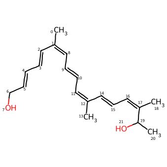 CC(C=CC=CCO)=CC=CC=C(C)C=CC=C(C)C(C)O